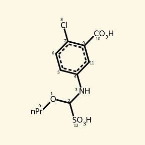 CCCOC(Nc1ccc(Cl)c(C(=O)O)c1)S(=O)(=O)O